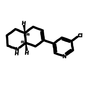 Clc1cncc(C2=CC[C@H]3CCCN[C@H]3C2)c1